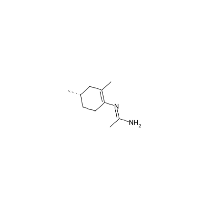 CC1=C(/N=C(\C)N)CC[C@H](C)C1